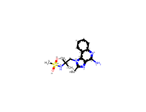 CCCCc1nc2c(N)nc3ccccc3c2n1CC(C)(C)NS(C)(=O)=O